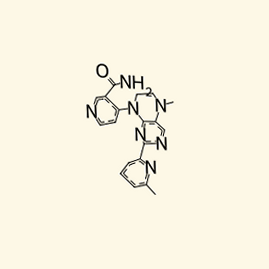 Cc1cccc(-c2ncc3c(n2)N(c2ccncc2C(N)=O)CCN3C)n1